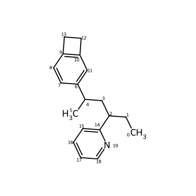 CCC(CC(C)c1ccc2c(c1)CC2)c1ccccn1